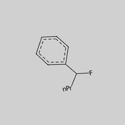 C[CH]CC(F)c1ccccc1